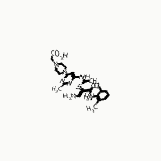 C=C(Nc1cc(N2CCN(CC(=O)O)CC2)nc(C)n1)S/C(=C\N)C(=O)Nc1c(C)cccc1Cl